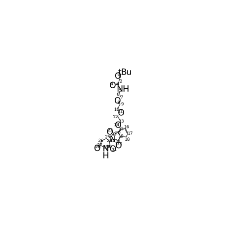 CC(C)(C)OCC(=O)NCCOCCOCCOc1cccc2c1C(=O)N(C1CCC(=O)NC1=O)C2=O